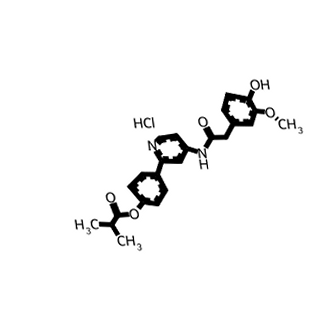 COc1cc(CC(=O)Nc2ccnc(-c3ccc(OC(=O)C(C)C)cc3)c2)ccc1O.Cl